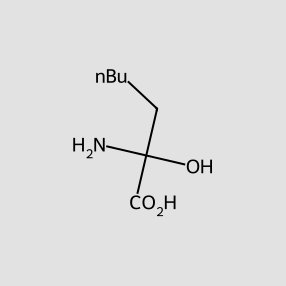 CCCCCC(N)(O)C(=O)O